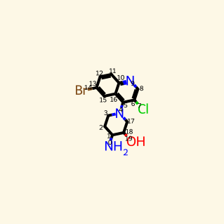 NC1CCN(c2c(Cl)cnc3ccc(Br)cc23)CC1O